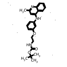 Cc1cc(Nc2cccc(OCCNC(=O)OC(C)(C)C)c2)c2ccccc2n1